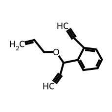 C#Cc1ccccc1C(C#C)OCC=C